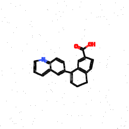 O=C(O)c1ccc2c(c1)C(c1ccc3ncccc3c1)=CCC2